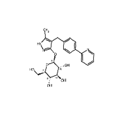 Cc1[nH]nc(O[C@@H]2O[C@H](CO)[C@@H](O)[C@H](O)[C@H]2O)c1Cc1ccc(-c2ccccn2)cc1